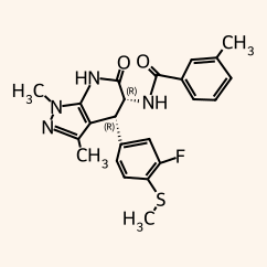 CSc1ccc([C@@H]2c3c(C)nn(C)c3NC(=O)[C@@H]2NC(=O)c2cccc(C)c2)cc1F